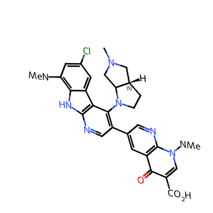 CNc1cc(Cl)cc2c1[nH]c1ncc(-c3cnc4c(c3)c(=O)c(C(=O)O)cn4NC)c(N3CC[C@H]4CN(C)CC43)c12